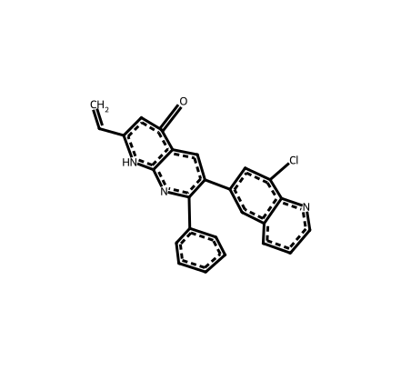 C=Cc1cc(=O)c2cc(-c3cc(Cl)c4ncccc4c3)c(-c3ccccc3)nc2[nH]1